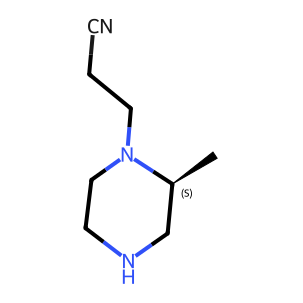 C[C@H]1CNCCN1CCC#N